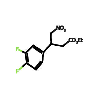 CCOC(=O)CC(C[N+](=O)[O-])c1ccc(F)c(F)c1